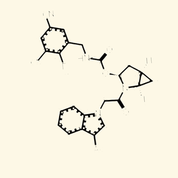 CC(=O)c1cn(CC(=O)N2[C@@H](OC(=O)NCc3cc(C#N)cc(Cl)c3F)C[C@H]3C[C@H]32)c2ccccc12